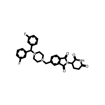 O=C1CCC(N2C(=O)c3ccc(CN4CCN(C(c5cccc(F)c5)c5cccc(F)c5)CC4)cc3C2=O)C(=O)N1